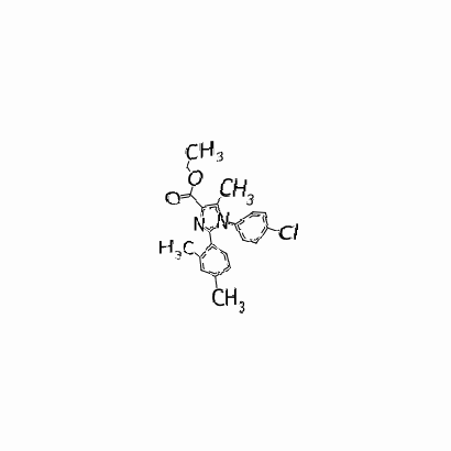 CCOC(=O)c1nc(-c2ccc(C)cc2C)n(-c2ccc(Cl)cc2)c1C